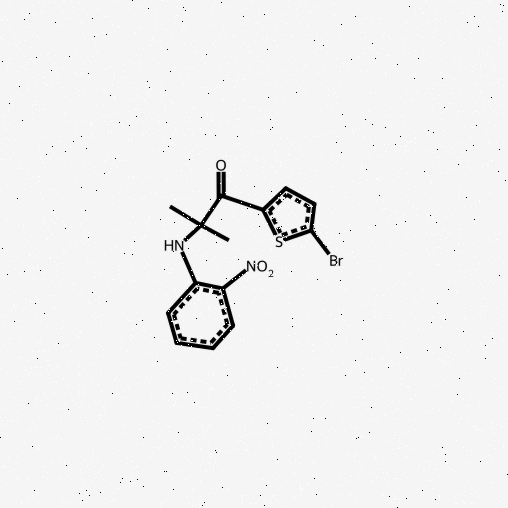 CC(C)(Nc1ccccc1[N+](=O)[O-])C(=O)c1ccc(Br)s1